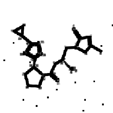 CC1=CC(=O)N(C[C@H](N)CC(=O)N2CCC[C@H]2c2nc(C3CC3)no2)C1